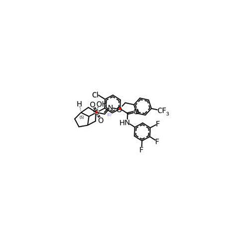 O=C(Nc1cc(F)c(F)c(F)c1)c1ccc(Cl)c(S(=O)(=O)C2C3CC[C@H]2C[C@@](O)(/C=N/OCc2ccc(C(F)(F)F)cc2)C3)c1